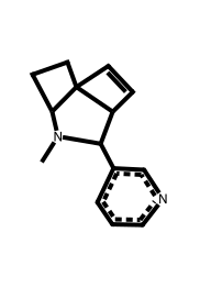 CN1C(c2cccnc2)C2C=CC23CCC13